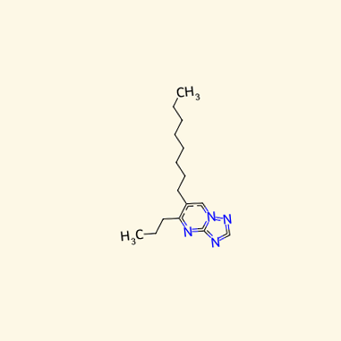 CCCCCCCCc1cn2ncnc2nc1CCC